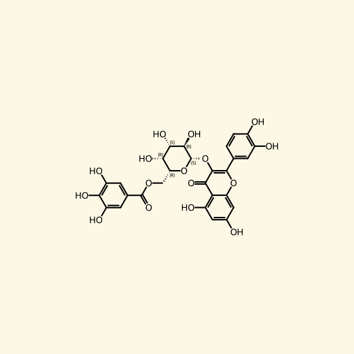 O=C(OC[C@H]1O[C@@H](Oc2c(-c3ccc(O)c(O)c3)oc3cc(O)cc(O)c3c2=O)[C@H](O)[C@@H](O)[C@H]1O)c1cc(O)c(O)c(O)c1